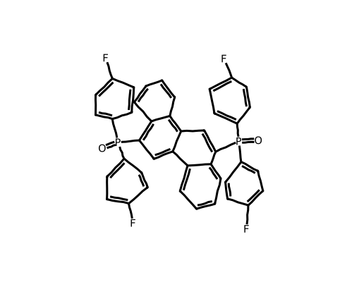 O=P(c1ccc(F)cc1)(c1ccc(F)cc1)c1cc2c3ccccc3c(P(=O)(c3ccc(F)cc3)c3ccc(F)cc3)cc2c2ccccc12